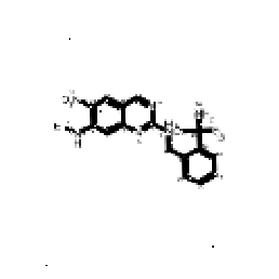 CCNc1cc2nc(NCc3ccccc3C(N)(CC)CC)ncc2cc1[N+](=O)[O-]